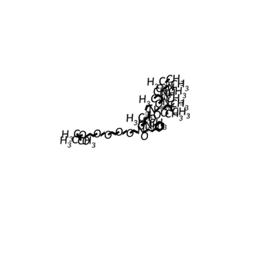 CC[C@H](C)[C@@H]([C@@H](CC(=O)N1CCC[C@H]1[C@H](OC)[C@@H](C)C(=O)N[C@@H](Cc1ccccc1)C(=O)NCCOCCOCCOCCOCCC(=O)OC(C)(C)C)OC)N(C)C(=O)[C@@H](NC(=O)[C@H](C(C)C)N(C)C)C(C)C